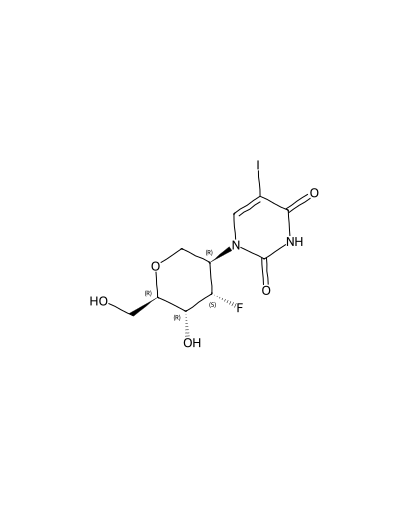 O=c1[nH]c(=O)n([C@@H]2CO[C@H](CO)[C@@H](O)[C@H]2F)cc1I